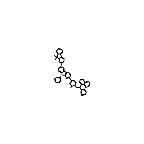 CC1C=C(c2ccc3c4cc(-c5ccc6c(c5)C(C)(C)c5ccccc5-6)ccc4n(-c4ccccc4)c3c2)C=CC1CC(c1ccccc1)c1cccc2ccccc12